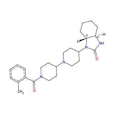 Cc1ccccc1C(=O)N1CCC(N2CCC(N3C(=O)N[C@@H]4CCCC[C@H]43)CC2)CC1